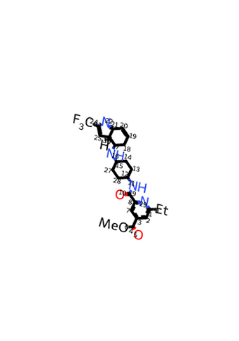 CCc1cc(C(=O)OC)cc(C(=O)NC2CCC(NC3CC=CC4=NC(C(F)(F)F)=C[C@H]43)CC2)n1